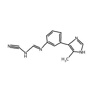 Cc1[nH]cnc1-c1cccc(/N=C/NC#N)c1